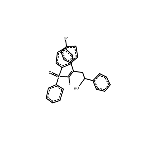 O=P(C(F)=C(CC(O)c1ccccc1)c1ccc(Br)cc1)(c1ccccc1)c1ccccc1